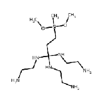 CO[Si](C)(CCC(NCCN)(NCCN)NCCN)OC